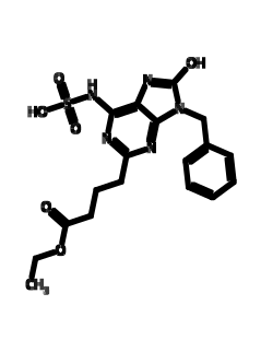 CCOC(=O)CCCc1nc(NS(=O)(=O)O)c2nc(O)n(Cc3ccccc3)c2n1